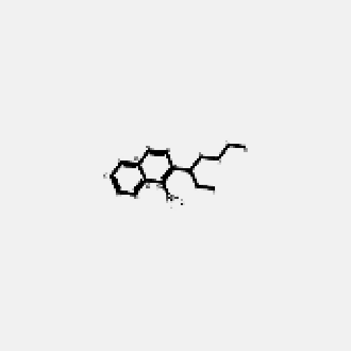 CCCCC(CC)c1ccc2ccccc2c1N